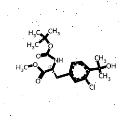 COC(=O)[C@H](Cc1ccc(C(C)(C)O)c(Cl)c1)NC(=O)OC(C)(C)C